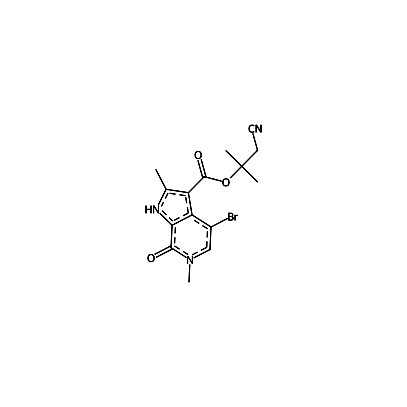 Cc1[nH]c2c(=O)n(C)cc(Br)c2c1C(=O)OC(C)(C)CC#N